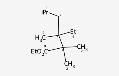 CCOC(=O)C(C)(C)C(C)(CC)CC(C)C